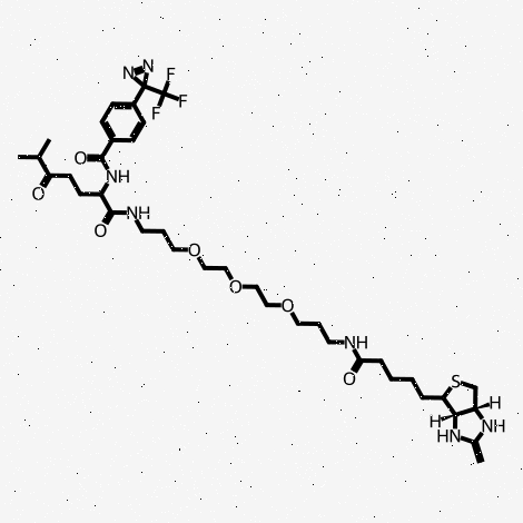 C=C1N[C@H]2CSC(CCCCC(=O)NCCCOCCOCCOCCCNC(=O)C(CCC(=O)C(C)C)NC(=O)c3ccc(C4(C(F)(F)F)N=N4)cc3)[C@H]2N1